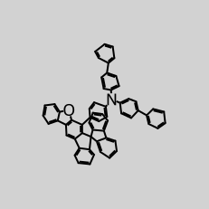 c1ccc(-c2ccc(N(c3ccc(-c4ccccc4)cc3)c3ccc(-c4c5c(cc6c4oc4ccccc46)-c4ccccc4C54c5ccccc5-c5ccccc54)cc3)cc2)cc1